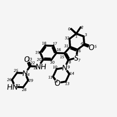 CC1(C)CC(=O)c2sc(N3CCOCC3)c(-c3cccc(NC(=O)N4CCNCC4)c3)c2C1